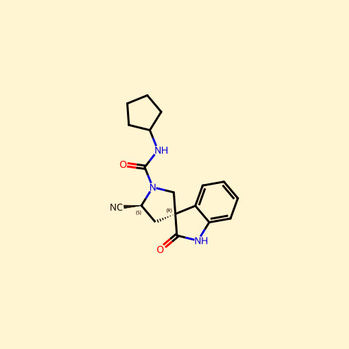 N#C[C@@H]1C[C@@]2(CN1C(=O)NC1CCCC1)C(=O)Nc1ccccc12